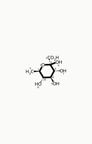 C[C@H]1O[C@](O)(C(=O)O)[C@H](O)[C@@H](O)[C@@H]1O